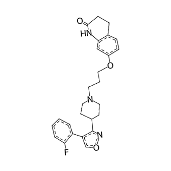 O=C1CCc2ccc(OCCCN3CCC(c4nocc4-c4ccccc4F)CC3)cc2N1